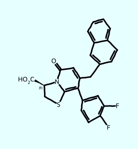 O=C(O)[C@@H]1CSc2c(-c3ccc(F)c(F)c3)c(Cc3ccc4ccccc4c3)cc(=O)n21